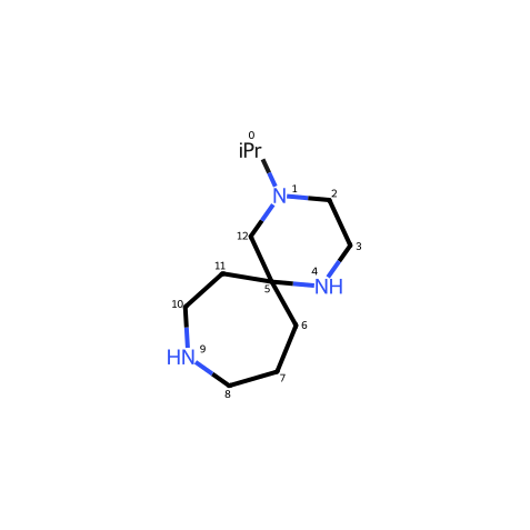 CC(C)N1CCNC2(CCCNCC2)C1